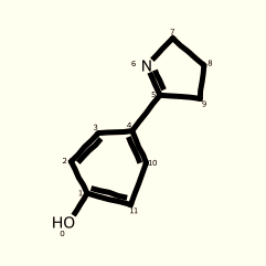 Oc1ccc(C2=NCCC2)cc1